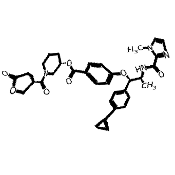 C[C@H](NC(=O)c1nccn1C)[C@H](Oc1ccc(C(=O)O[C@H]2CCCN(C(=O)[C@H]3COC(=O)C3)C2)cc1)c1ccc(C2CC2)cc1